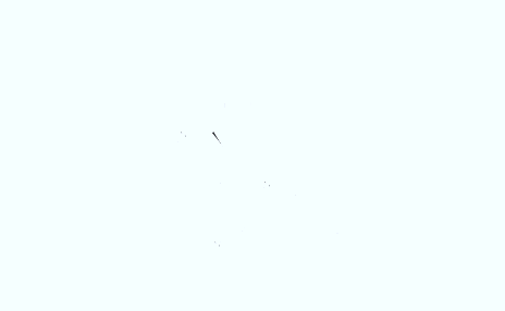 CC(C)(C)OC(=O)N1C[C@H](C(N)C(=O)c2ccccc2)C[C@H]1C(=O)N1CCSC1